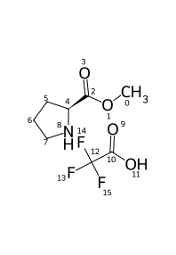 COC(=O)[C@@H]1CCCN1.O=C(O)C(F)(F)F